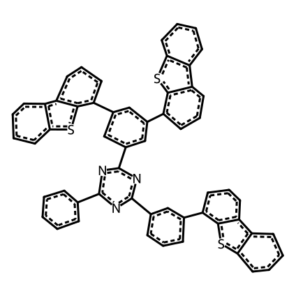 c1ccc(-c2nc(-c3cccc(-c4cccc5c4sc4ccccc45)c3)nc(-c3cc(-c4cccc5c4sc4ccccc45)cc(-c4cccc5c4sc4ccccc45)c3)n2)cc1